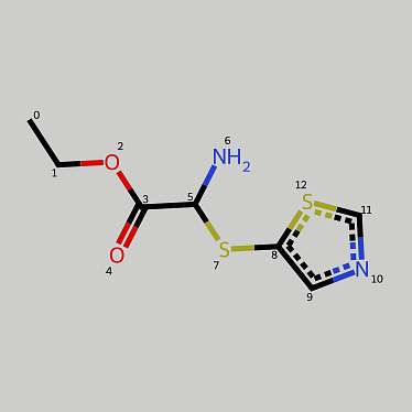 CCOC(=O)C(N)Sc1cncs1